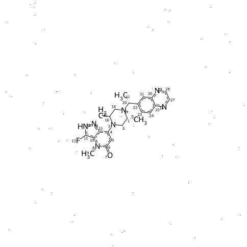 C[C@@H]1CN(c2cc(=O)n(C)c3c(F)[nH]nc23)[C@@H](C)CN1[C@H](C)c1ccc2nccnc2c1